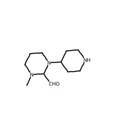 CN1CCCN(C2CCNCC2)C1C=O